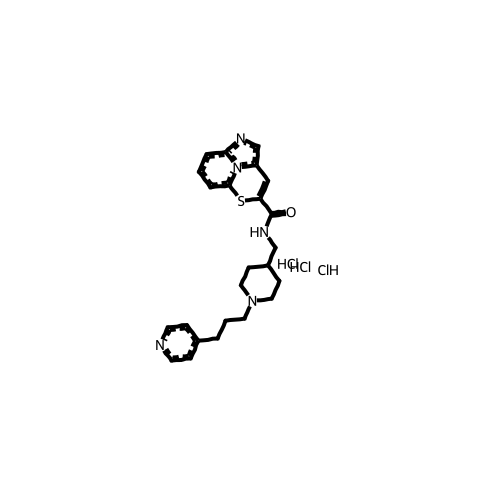 Cl.Cl.Cl.O=C(NCC1CCN(CCCc2ccncc2)CC1)C1=Cc2cnc3cccc(n23)S1